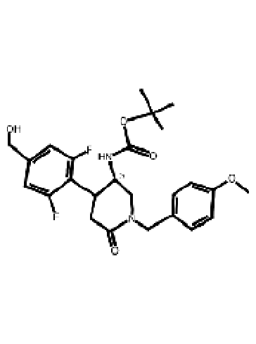 COc1ccc(CN2C[C@H](NC(=O)OC(C)(C)C)C(c3c(F)cc(CO)cc3F)CC2=O)cc1